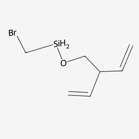 C=CC(C=C)CO[SiH2]CBr